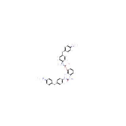 CN(C(=O)Nc1ccc(Cc2ccc(N)cc2)cc1)c1cccc(OC(=O)Nc2ccc(Cc3ccc(N)cc3)cc2)c1